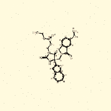 CCO[PH](=O)OCN1C(=O)N[C@@](CN2Cc3ccc(OC)cc3C2=O)(c2cc3ncccc3o2)C1=O